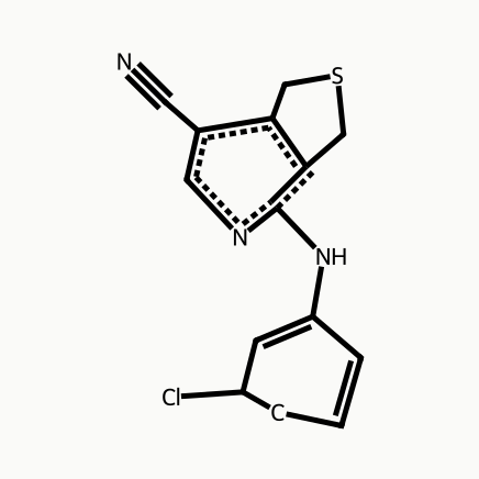 N#Cc1cnc(NC2=CC(Cl)CC=C2)c2c1CSC2